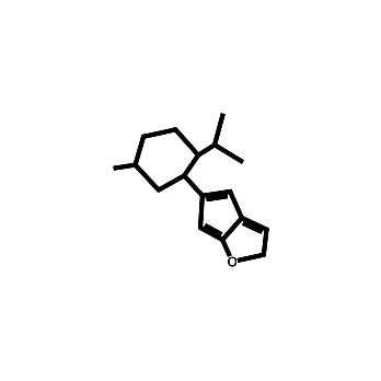 CC1CCC(C(C)C)C(C2=CC3=CCOC3=C2)C1